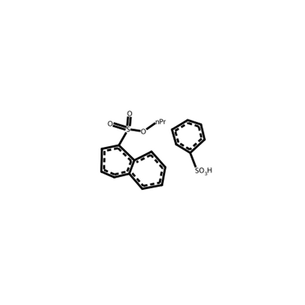 CCCOS(=O)(=O)c1cccc2ccccc12.O=S(=O)(O)c1ccccc1